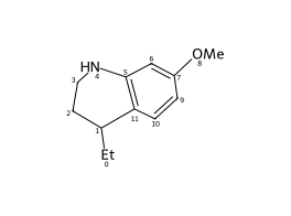 CCC1CCNc2cc(OC)ccc21